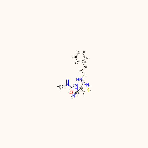 CNC(=O)NC1(C#N)CSN=C1NCCCc1ccccc1